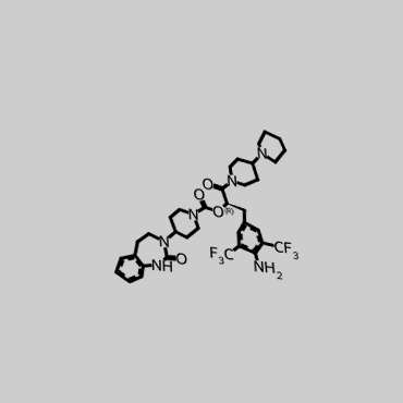 Nc1c(C(F)(F)F)cc(C[C@@H](OC(=O)N2CCC(N3CCc4ccccc4NC3=O)CC2)C(=O)N2CCC(N3CCCCC3)CC2)cc1C(F)(F)F